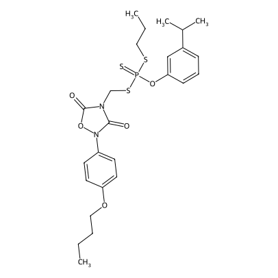 CCCCOc1ccc(-n2oc(=O)n(CSP(=S)(Oc3cccc(C(C)C)c3)SCCC)c2=O)cc1